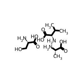 CC(C)[C@H](N)C(=O)O.C[C@H](N)C(=O)O.N[C@@H](CO)C(=O)O